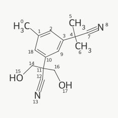 Cc1cc(C(C)(C)C#N)cc(C(C#N)(CO)CO)c1